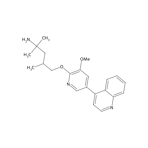 COc1cc(-c2ccnc3ccccc23)cnc1OCC(C)CC(C)(C)N